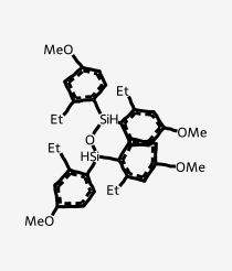 CCc1cc(OC)ccc1[SiH](O[SiH](c1ccc(OC)cc1CC)c1ccc(OC)cc1CC)c1ccc(OC)cc1CC